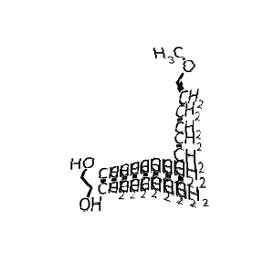 C=C.C=C.C=C.C=C.C=C.C=C.C=C.C=C.C=C.C=C.C=COC.OCCO